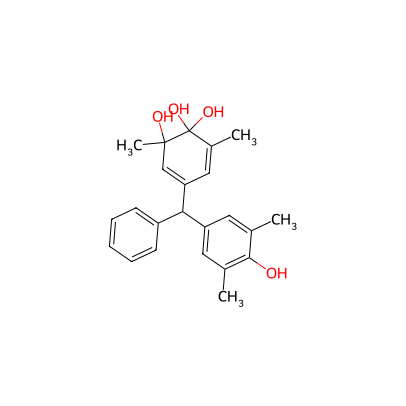 CC1=CC(C(c2ccccc2)c2cc(C)c(O)c(C)c2)=CC(C)(O)C1(O)O